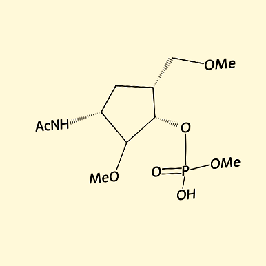 COC[C@H]1C[C@@H](NC(C)=O)C(OC)[C@H]1OP(=O)(O)OC